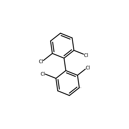 Clc1[c]ccc(Cl)c1-c1c(Cl)cccc1Cl